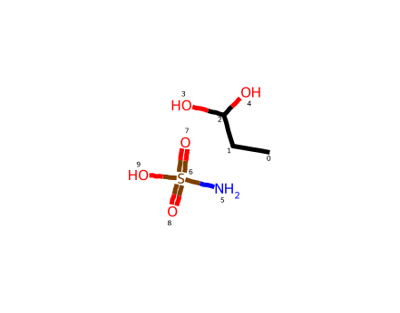 CCC(O)O.NS(=O)(=O)O